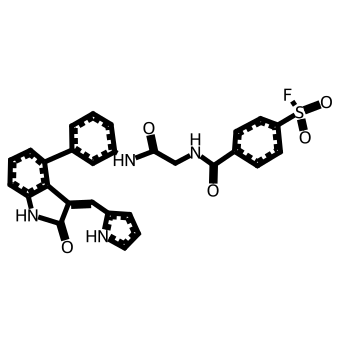 O=C(CNC(=O)c1ccc(S(=O)(=O)F)cc1)Nc1cccc(-c2cccc3c2C(=Cc2ccc[nH]2)C(=O)N3)c1